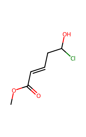 COC(=O)C=CCC(O)Cl